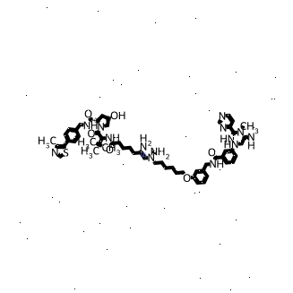 Cc1ncsc1-c1ccc(CNC(=O)[C@@H]2C[C@@H](O)CN2C(=O)C(NC(=O)CCCC/C(N)=C/N(N)CCCCCCOc2cccc(CNC(=O)c3cccc(NCC(=N)N(C)C(=N)c4ccncn4)c3)c2)C(C)(C)C)cc1